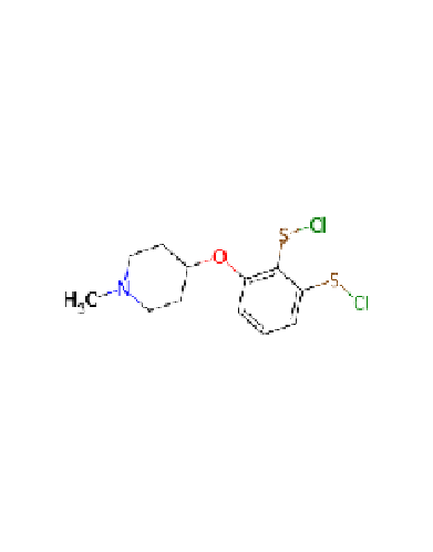 CN1CCC(Oc2cccc(SCl)c2SCl)CC1